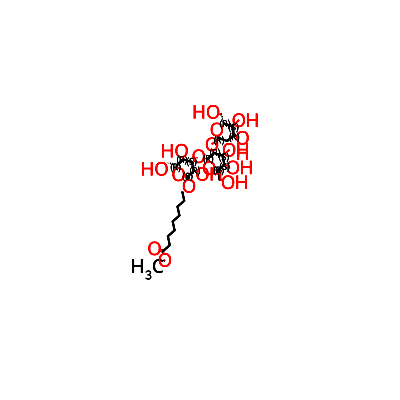 COC(=O)CCCCCCCCO[C@H]1O[C@H](CO)[C@@H](O)[C@H](O[C@H]2O[C@H](CO)[C@@H](O)[C@H](O)[C@H]2O[C@@H]2C[C@@H](O)[C@H](O)[C@@H](CO)O2)[C@H]1O